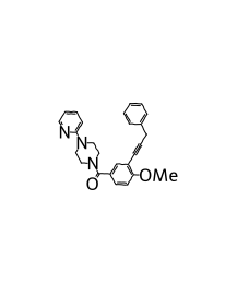 COc1ccc(C(=O)N2CCN(c3ccccn3)CC2)cc1C#CCc1ccccc1